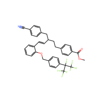 COC(=O)c1ccc(CCC(/C=C/c2ccccc2OCc2ccc(C(F)(C(F)(F)F)C(F)(F)F)cc2)Cc2ccc(C#N)cc2)cc1